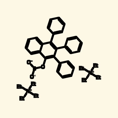 CC[N+](CC)(CC)CC.CC[N+](CC)(CC)CC.[O-]B([O-])Oc1c(-c2ccccc2)c(-c2ccccc2)c(-c2ccccc2)c2ccccc12